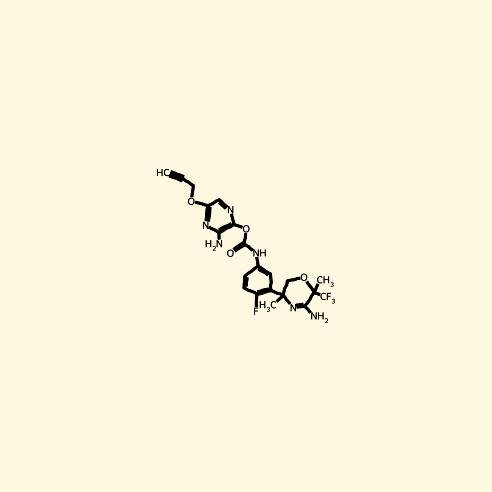 C#CCOc1cnc(OC(=O)Nc2ccc(F)c(C3(C)COC(C)(C(F)(F)F)C(N)=N3)c2)c(N)n1